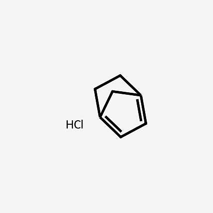 C1=C2CCC(=C1)C2.Cl